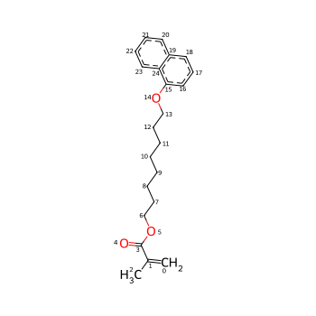 C=C(C)C(=O)OCCCCCCCCOc1cccc2ccccc12